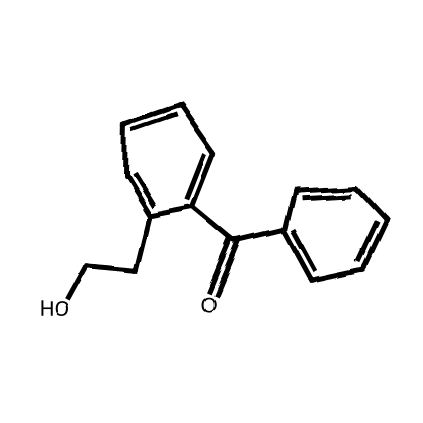 O=C(c1ccccc1)c1ccccc1CCO